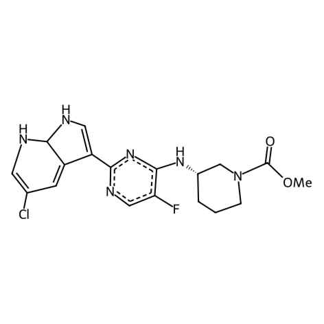 COC(=O)N1CCC[C@H](Nc2nc(C3=CNC4NC=C(Cl)C=C34)ncc2F)C1